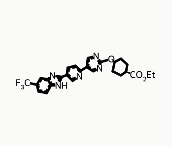 CCOC(=O)[C@H]1CC[C@H](Oc2ncc(-c3ccc(-c4nc5cc(C(F)(F)F)ccc5[nH]4)cn3)cn2)CC1